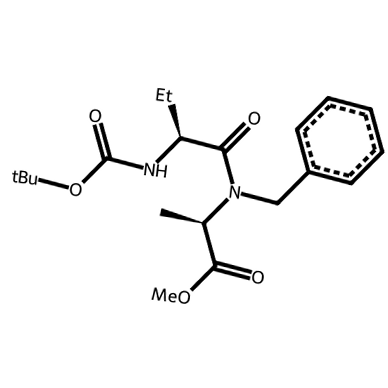 CC[C@H](NC(=O)OC(C)(C)C)C(=O)N(Cc1ccccc1)[C@H](C)C(=O)OC